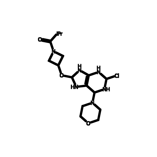 CC(C)C(=O)N1CC(OC2NC3=C(N2)C(N2CCOCC2)NC(Cl)N3)C1